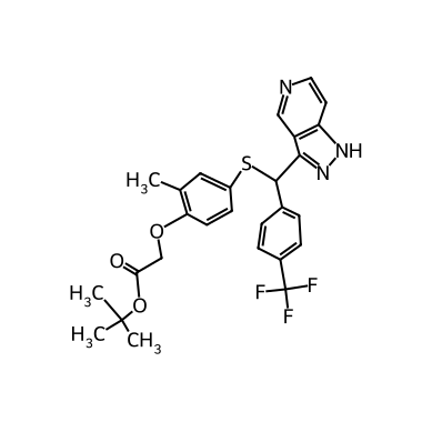 Cc1cc(SC(c2ccc(C(F)(F)F)cc2)c2n[nH]c3ccncc23)ccc1OCC(=O)OC(C)(C)C